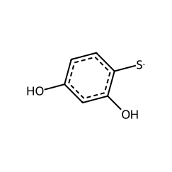 Oc1ccc([S])c(O)c1